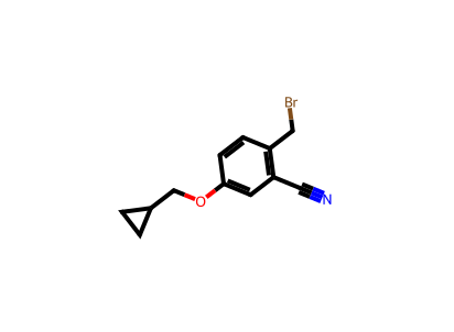 N#Cc1cc(OCC2CC2)ccc1CBr